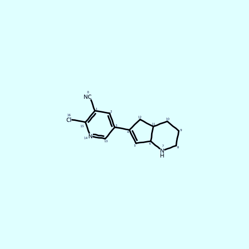 N#Cc1cc(C2=CC3NCCCC3C2)cnc1Cl